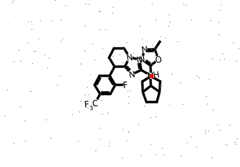 Cc1nnc(N2CC3CCC(C2)C3Nc2nc3n(n2)CCCC3c2ccc(C(F)(F)F)cc2F)o1